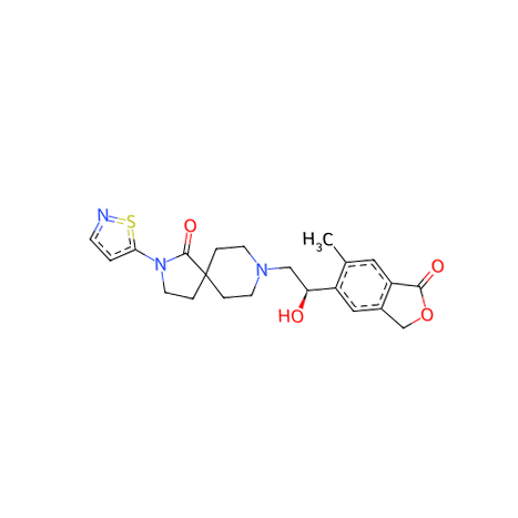 Cc1cc2c(cc1[C@@H](O)CN1CCC3(CC1)CCN(c1ccns1)C3=O)COC2=O